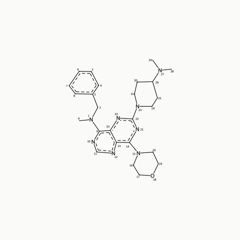 CN(Cc1ccccc1)c1ncnc2c(N3CCOCC3)nc(N3CCC(N(C)C)CC3)nc12